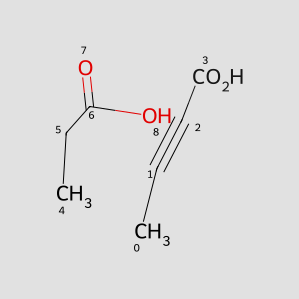 CC#CC(=O)O.CCC(=O)O